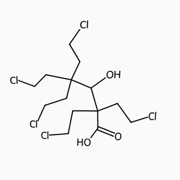 O=C(O)C(CCCl)(CCCl)C(O)C(CCCl)(CCCl)CCCl